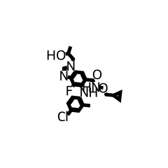 Cc1cc(Cl)ccc1Nc1c(C(=O)NOCC2CC2)cc2c(ncn2CC(C)O)c1F